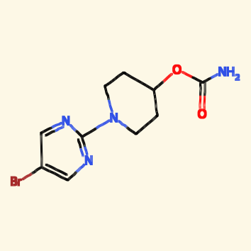 NC(=O)OC1CCN(c2ncc(Br)cn2)CC1